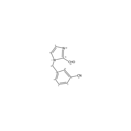 N#Cc1cccc(Cn2[c]cnc2C=O)c1